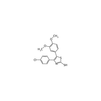 COc1ccc(-c2sc(S)nc2-c2ccc(Cl)cc2)cc1OC